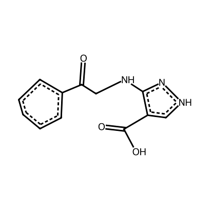 O=C(CNc1n[nH]cc1C(=O)O)c1ccccc1